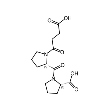 O=C(O)CCC(=O)N1CCC[C@H]1C(=O)N1CCC[C@H]1C(=O)O